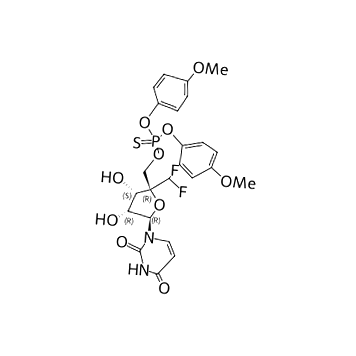 COc1ccc(OP(=S)(OC[C@@]2(C(F)F)O[C@@H](n3ccc(=O)[nH]c3=O)[C@H](O)[C@@H]2O)Oc2ccc(OC)cc2)cc1